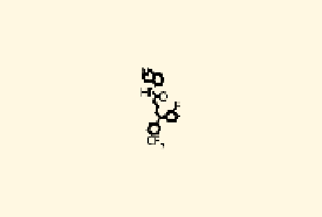 O=C(C=CC=C(c1ccc(C(F)(F)F)cc1)c1cccc(F)c1)Nc1cccc2cnccc12